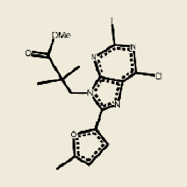 COC(=O)C(C)(C)Cn1c(-c2ccc(C)o2)nc2c(Cl)nc(I)nc21